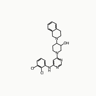 OC1CN(c2cc(Nc3cccc(Cl)c3Cl)ncn2)CCC1N1CCc2ccccc2C1